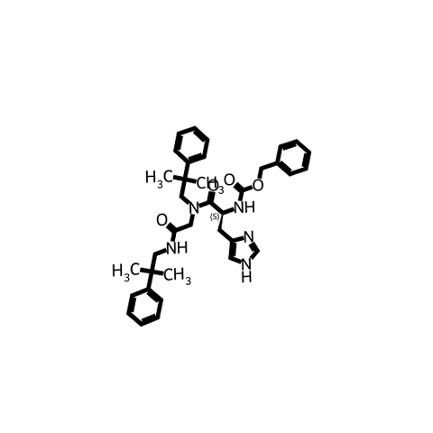 CC(C)(CNC(=O)CN(CC(C)(C)c1ccccc1)C(=O)[C@H](Cc1c[nH]cn1)NC(=O)OCc1ccccc1)c1ccccc1